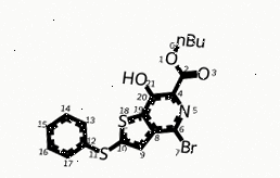 CCCCOC(=O)c1nc(Br)c2cc(Sc3ccccc3)sc2c1O